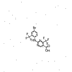 O=C(O)c1cnc(Nc2ccc(Br)cc2C(F)(F)F)nc1C(F)(F)F